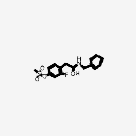 CS(=O)(=O)Oc1ccc(CC(O)NCc2ccccc2)c(F)c1